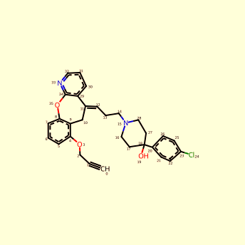 C#CCOc1cccc2c1CC(=CCCN1CCC(O)(c3ccc(Cl)cc3)CC1)c1cccnc1O2